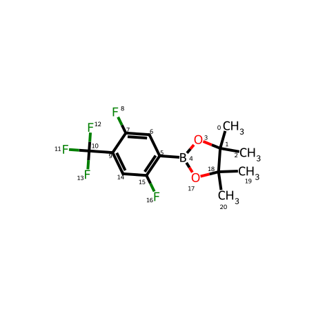 CC1(C)OB(c2cc(F)c(C(F)(F)F)cc2F)OC1(C)C